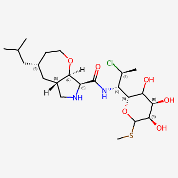 CSC1O[C@H]([C@H](NC(=O)[C@H]2NC[C@@H]3C[C@H](CC(C)C)CCO[C@H]32)[C@H](C)Cl)C(O)[C@@H](O)[C@H]1O